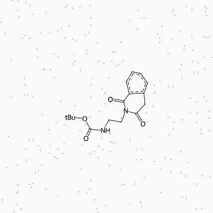 CC(C)(C)OC(=O)NCCN1C(=O)Cc2ccccc2C1=O